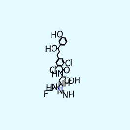 N=C/N=C(/NCCF)NCC(COO)NC(=O)c1c(Cl)cc(CCC(O)c2cccc(O)c2)cc1Cl